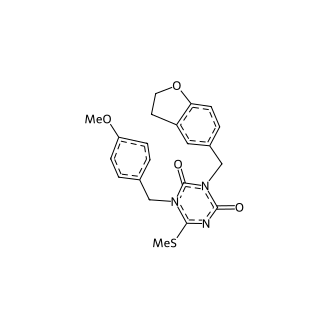 COc1ccc(Cn2c(SC)nc(=O)n(Cc3ccc4c(c3)CCO4)c2=O)cc1